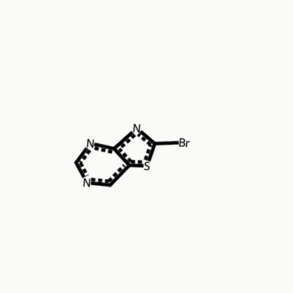 Brc1nc2ncncc2s1